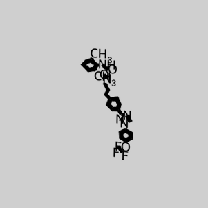 Cc1cccc(C)c1NC(=O)O/N=C/CCc1ccc(-c2ncn(-c3ccc(OC(F)(F)F)cc3)n2)cc1